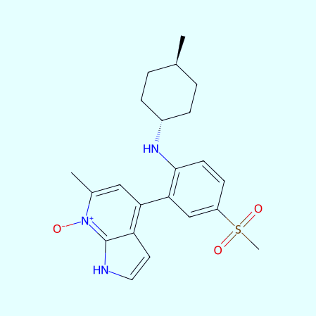 Cc1cc(-c2cc(S(C)(=O)=O)ccc2N[C@H]2CC[C@H](C)CC2)c2cc[nH]c2[n+]1[O-]